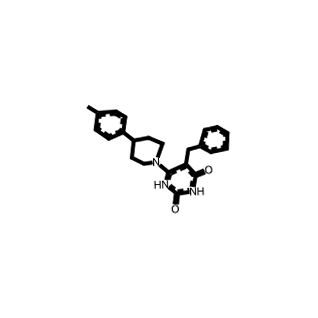 Cc1ccc(C2CCN(c3[nH]c(=O)[nH]c(=O)c3Cc3ccccc3)CC2)cc1